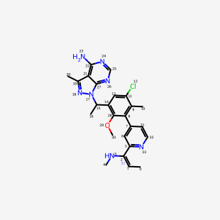 C/C=C(/NC)c1cc(-c2c(C)c(Cl)cc(C(C)n3nc(C)c4c(N)ncnc43)c2OC)ccn1